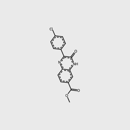 COC(=O)c1ccc2nc(-c3ccc(Cl)cc3)c(=O)[nH]c2c1